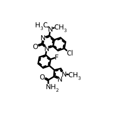 CN(C)c1nc(=O)n(-c2cccc(-c3cn(C)nc3C(N)=O)c2F)c2cc(Cl)ccc12